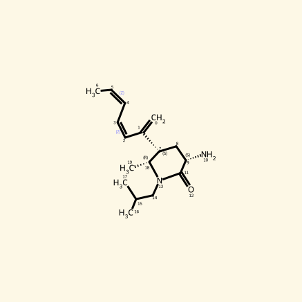 C=C(/C=C\C=C/C)[C@@H]1C[C@H](N)C(=O)N(CC(C)C)[C@@H]1C